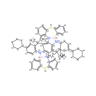 CC1(C)c2cc(C3CCCCC3)ccc2N2B3c4ccccc4Sc4ccccc4N3c3c2c1c1c2c3C(C)(C)C3(C)CC(C4CCCCC4)=CCC3N2B2c3ccccc3Sc3ccccc3N21